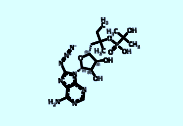 CCC(C)(C[C@H]1O[C@@H](n2c(N=[N+]=[N-])nc3c(N)ncnc32)[C@H](O)[C@@H]1O)OP(=O)(O)C(C)(C)O